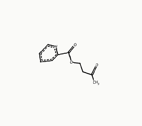 CC(=O)CCOC(=O)c1ccccn1